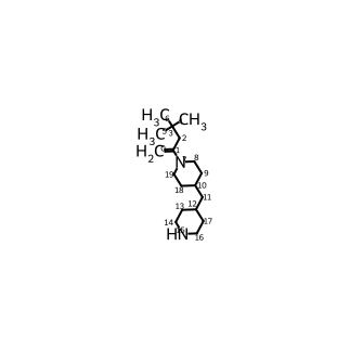 C=C(CC(C)(C)C)N1CCC(CC2CCNCC2)CC1